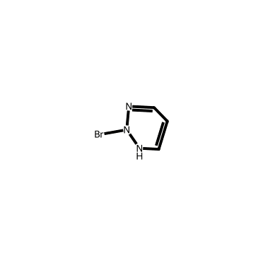 BrN1N=CC=CN1